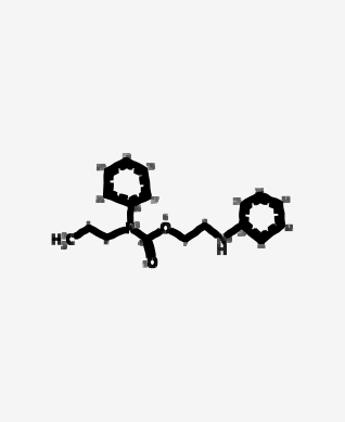 CCCN(C(=O)OCCNc1ccccc1)c1ccccc1